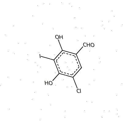 O=Cc1cc(Cl)c(O)c(I)c1O